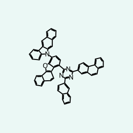 c1ccc2cc(-c3nc(-c4ccc5c(ccc6ccccc65)c4)nc(-c4ccc(-n5c6ccccc6c6cc7ccccc7cc65)c5oc6c7ccccc7ccc6c45)n3)ccc2c1